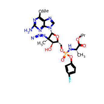 COc1nc(N)nc2c1ncn2[C@@H]1O[C@H](COP(=O)(N[C@@H](C)C(=O)OC(C)C)Oc2ccc(F)cc2)[C@@H](O)[C@@]1(C)N=[N+]=[N-]